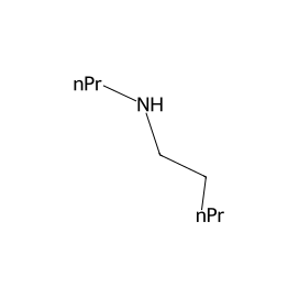 [CH2]CCNCCCCC